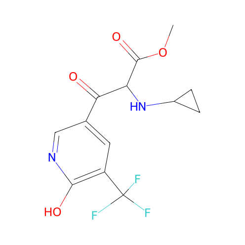 COC(=O)C(NC1CC1)C(=O)c1cnc(O)c(C(F)(F)F)c1